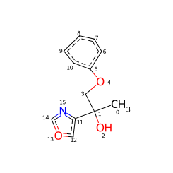 CC(O)(COc1ccccc1)c1cocn1